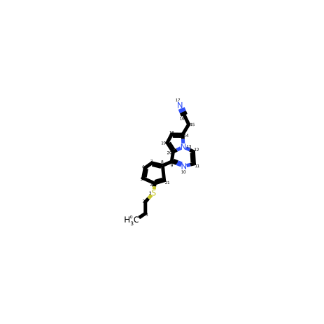 CCCSc1cccc(-c2nccn3c(CC#N)ccc23)c1